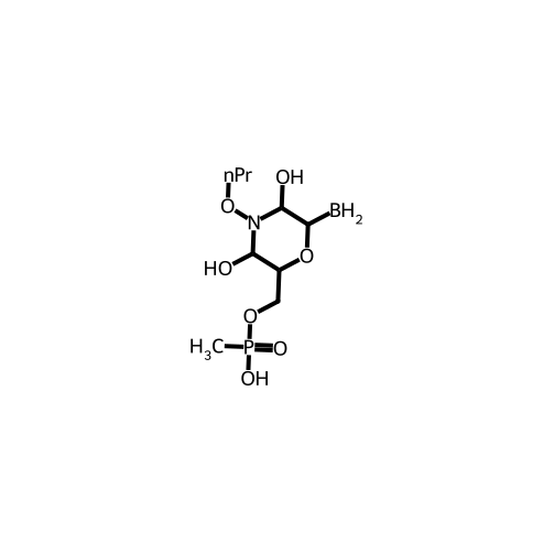 BC1OC(COP(C)(=O)O)C(O)N(OCCC)C1O